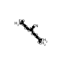 C=CC(=O)OCC(COC1=CC=C(OC(=O)C2CCC(C(=O)OCCc3ccc(OC(=O)C4CCC(C(=O)Oc5ccc(OC[C@H](COC(=O)CC)OC(=O)C=C)cc5)CC4)c4nc(-c5ccc(C#N)cc5)sc34)CC2)CC1)OC(=O)C=C